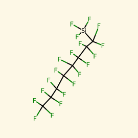 FC(F)(F)C(F)(F)C(F)(F)C(F)(F)C(F)(F)C(F)(F)C(F)(F)C(F)(F)[Si](F)(F)F